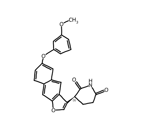 COc1cccc(Oc2ccc3cc4occ([C@@H]5CCC(=O)NC5=O)c4cc3c2)c1